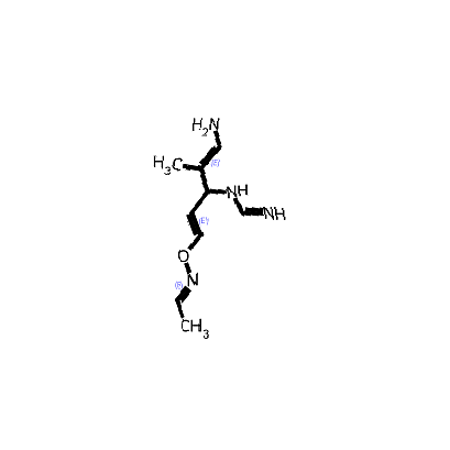 C/C=N/O/C=C/C(NC=N)/C(C)=C/N